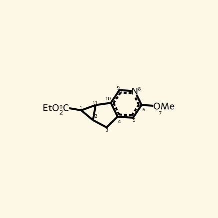 CCOC(=O)C1C2Cc3cc(OC)ncc3C21